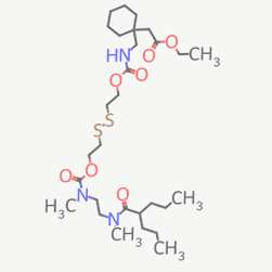 CCCC(CCC)C(=O)N(C)CCN(C)C(=O)OCCSSCCOC(=O)NCC1(CC(=O)OCC)CCCCC1